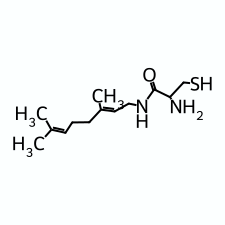 CC(C)=CCC/C(C)=C/CNC(=O)[C@@H](N)CS